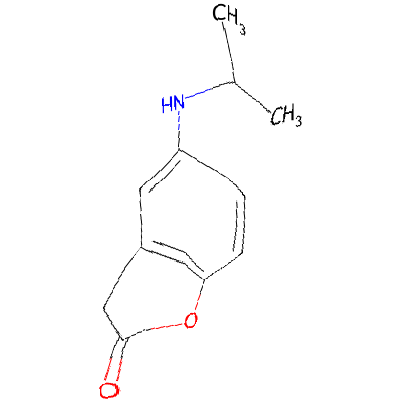 CC(C)Nc1ccc2c(c1)CC(=O)O2